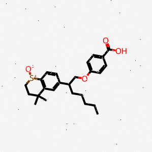 CCCCCC(COc1ccc(C(=O)O)cc1)c1ccc2c(c1)C(C)(C)CC[S+]2[O-]